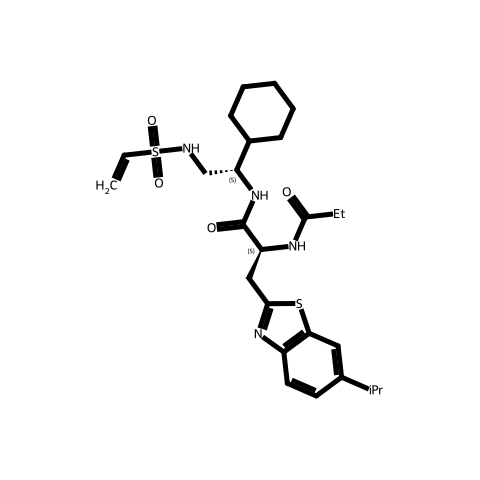 C=CS(=O)(=O)NC[C@@H](NC(=O)[C@H](Cc1nc2ccc(C(C)C)cc2s1)NC(=O)CC)C1CCCCC1